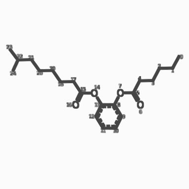 CCCCCC(=O)Oc1ccccc1OC(=O)CCCCCC(C)C